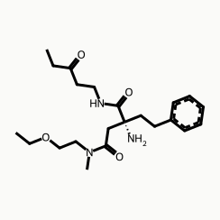 CCOCCN(C)C(=O)C[C@](N)(CCc1ccccc1)C(=O)NCCC(=O)CC